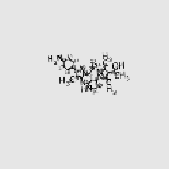 Cc1nn(-c2cc(Nc3c(C)c(-c4ccc(N)cc4)nn3CC3CC3)ncn2)c(C)c1C(C)O